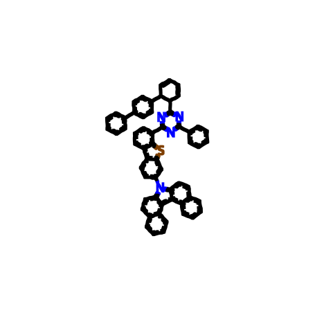 C1=CC(c2ccc(-c3ccccc3)cc2)C(c2nc(-c3ccccc3)nc(-c3cccc4c3sc3cc(-n5c6ccc7ccccc7c6c6c7ccccc7ccc65)ccc34)n2)C=C1